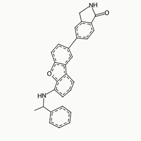 CC(Nc1cccc2c1oc1ccc(-c3ccc4c(c3)CNC4=O)cc12)c1ccccc1